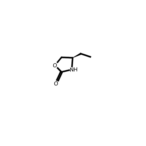 CC[C@@H]1COC(=O)N1